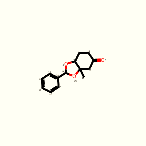 CC12CC(=O)CCC1OC(c1ccccc1)O2